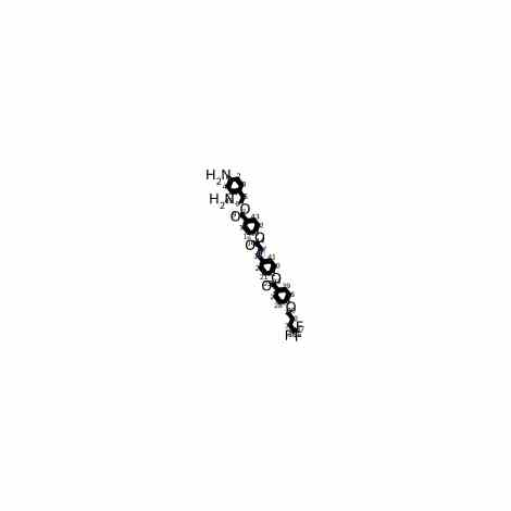 Nc1ccc(CCOC(=O)c2ccc(OC(=O)/C=C/c3ccc(OC(=O)c4ccc(OCCCC(F)(F)F)cc4)cc3)cc2)c(N)c1